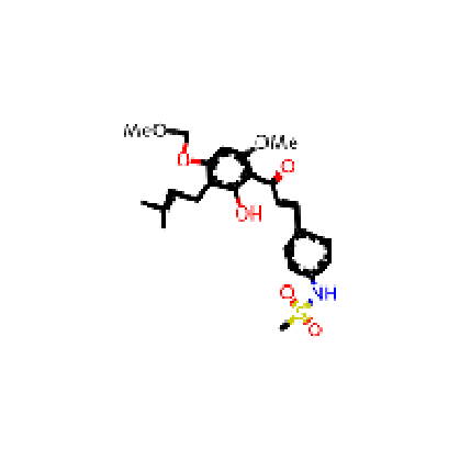 COCOc1cc(OC)c(C(=O)/C=C/c2ccc(NS(C)(=O)=O)cc2)c(O)c1CC=C(C)C